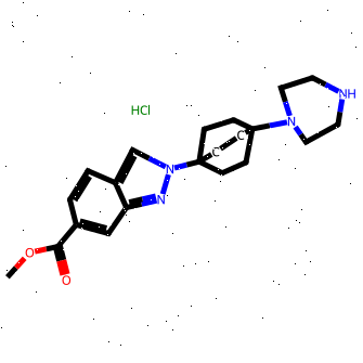 COC(=O)c1ccc2cn(C34CCC(N5CCNCC5)(CC3)CC4)nc2c1.Cl